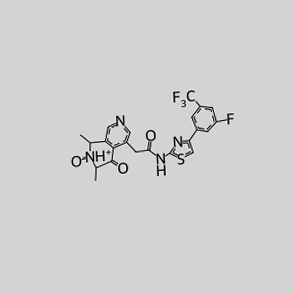 CC1C(=O)c2c(CC(=O)Nc3nc(-c4cc(F)cc(C(F)(F)F)c4)cs3)cncc2C(C)[NH+]1[O-]